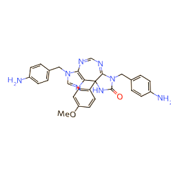 COc1ccc(C23NC(=O)N(Cc4ccc(N)cc4)C2=NC=Nc2c3ncn2Cc2ccc(N)cc2)cc1